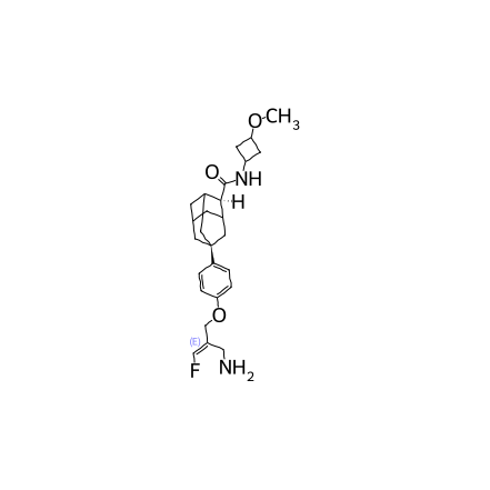 COC1CC(NC(=O)[C@H]2C3CC4CC2C[C@@](c2ccc(OC/C(=C/F)CN)cc2)(C4)C3)C1